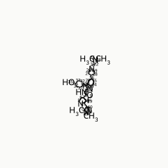 Cc1c(-c2nccc(C(=O)Nc3nc4ccc(C5CCN(CCN(C)C)CC5)cc4n3[C@H]3CC[C@@H](O)CC3)c2F)cnn1C